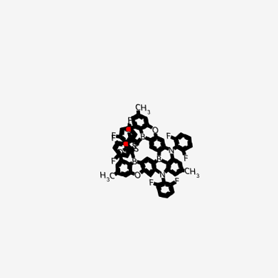 Cc1cc2c3c(c1)Oc1c(sc4cc(F)cc(F)c14)B3c1cc3c(cc1O2)N(c1c(F)cccc1F)c1cc(C)cc2c1B3c1cc3c(cc1N2c1c(F)cccc1F)Oc1cc(C)cc2c1B3c1sc3cc(F)cc(F)c3c1O2